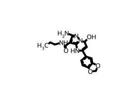 CCCNC(=O)c1c(N)nn2c1NC(c1ccc3c(c1)OCO3)=CC2O